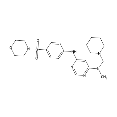 CN(CN1CCCCC1)c1cc(Nc2ccc(S(=O)(=O)N3CCOCC3)cc2)ncn1